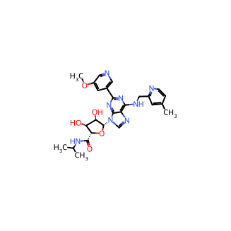 COc1cncc(-c2nc(NCc3cc(C)ccn3)c3ncn([C@@H]4O[C@H](C(=O)NC(C)C)[C@@H](O)[C@H]4O)c3n2)c1